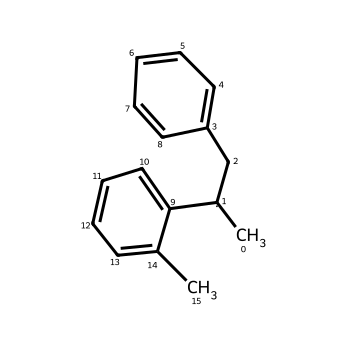 C[C](Cc1ccccc1)c1ccccc1C